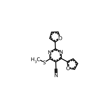 CSc1nc(-c2ccco2)nc(-c2ccco2)c1C#N